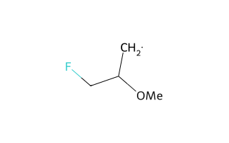 [CH2]C(CF)OC